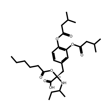 CCCCCC(=O)O[C@](Cc1ccc(OC(=O)CC(C)C)c(OC(=O)CC(C)C)c1)(NC(C)CC)C(=O)O